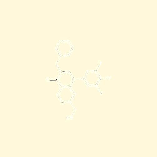 O=c1c2ccc(CO)cc2c(-c2cc(F)c(F)c(F)c2)cn1Cc1ccccc1